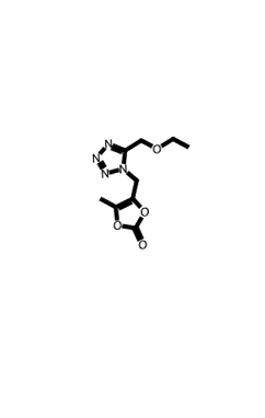 CCOCc1nnnn1Cc1oc(=O)oc1C